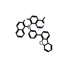 C=C(C)c1ccc(C)c(B(c2cccc(-c3cccc4c3OC3C=CC=CC43)c2)c2c(C)ccc3ccccc23)c1/C=C\C